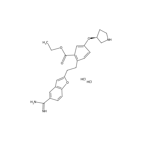 CCOC(=O)c1cc(O[C@H]2CCNC2)ccc1CCc1cc2cc(C(=N)N)ccc2o1.Cl.Cl